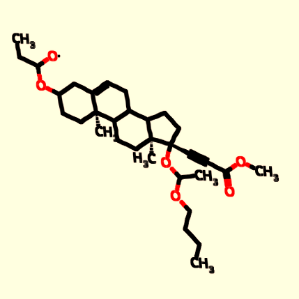 CCCCOC(C)O[C@@]1(C#CC(=O)OC)CCC2C3CC=C4CC(OC([O])CC)CC[C@]4(C)C3CC[C@@]21C